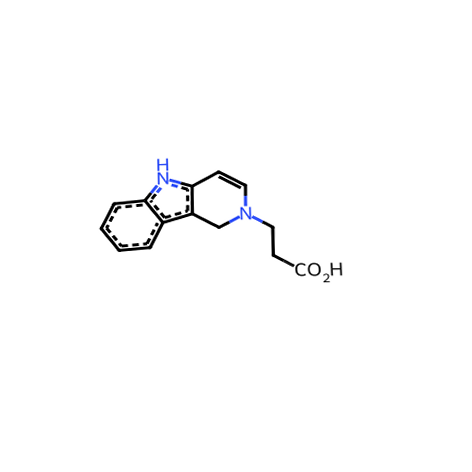 O=C(O)CCN1C=Cc2[nH]c3ccccc3c2C1